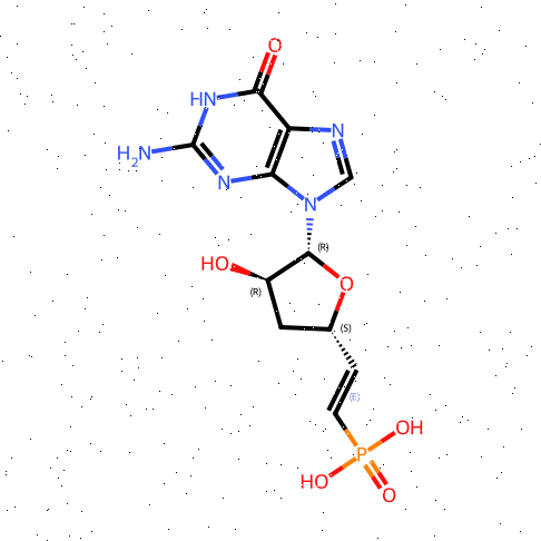 Nc1nc2c(ncn2[C@@H]2O[C@H](/C=C/P(=O)(O)O)C[C@H]2O)c(=O)[nH]1